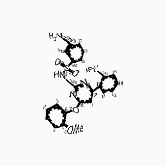 COc1ccccc1Oc1cc(-c2ccccc2C(C)C)nc(NS(=O)(=O)c2cccc(N)c2)n1